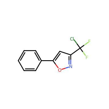 FC(F)(Cl)c1cc(-c2ccccc2)on1